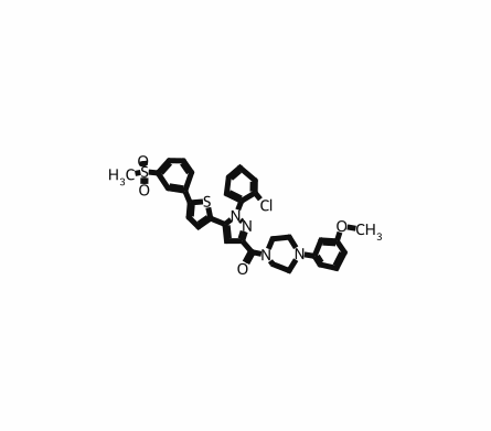 COc1cccc(N2CCN(C(=O)c3cc(-c4ccc(-c5cccc(S(C)(=O)=O)c5)s4)n(-c4ccccc4Cl)n3)CC2)c1